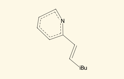 CCC(C)/C=C/c1ccccn1